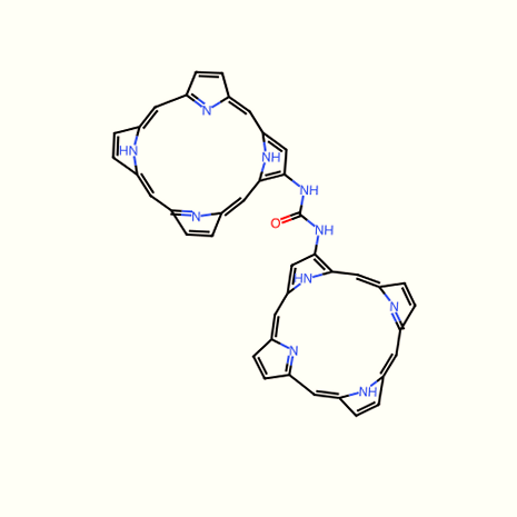 O=C(Nc1cc2cc3nc(cc4ccc(cc5nc(cc1[nH]2)C=C5)[nH]4)C=C3)Nc1cc2cc3nc(cc4ccc(cc5nc(cc1[nH]2)C=C5)[nH]4)C=C3